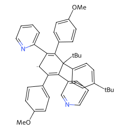 COc1ccc(C2=C(c3cccnc3)C(c3ccc(C(C)(C)C)cc3)(C(C)(C)C)C(c3ccc(OC)cc3)=C(c3ccccn3)[CH]2)cc1